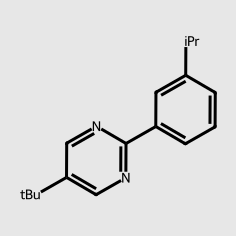 CC(C)c1cccc(-c2ncc(C(C)(C)C)cn2)c1